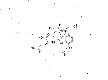 CO[C@@]12CCC(N[C@@H](CCC(=O)O)C(=O)O)C3Oc4c(O)ccc5c4[C@@]31CCN(CC1CC1)[C@@H]2C5.Cl.Cl